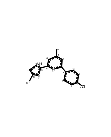 Cc1cc(-c2ccc(Cl)cc2)nc(-c2nc(I)c[nH]2)c1